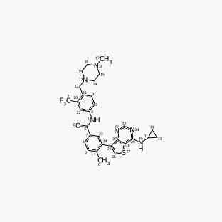 Cc1ccc(C(=O)Nc2ccc(CN3CCN(C)CC3)c(C(F)(F)F)c2)cc1-c1csc2c(NC3CC3)ncnc12